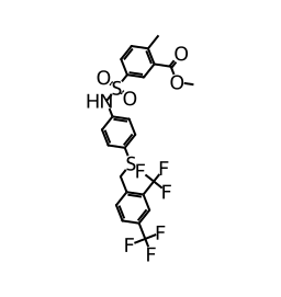 COC(=O)c1cc(S(=O)(=O)Nc2ccc(SCc3ccc(C(F)(F)F)cc3C(F)(F)F)cc2)ccc1C